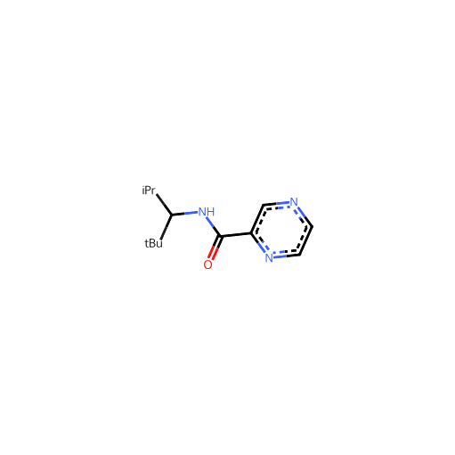 CC(C)C(NC(=O)c1cnccn1)C(C)(C)C